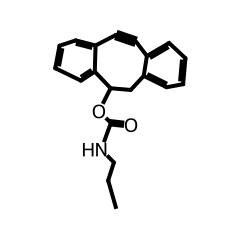 CCCNC(=O)OC1Cc2ccccc2C#Cc2ccccc21